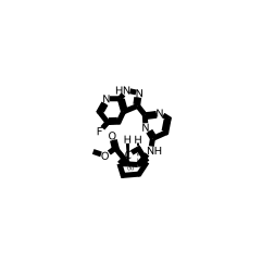 COC(=O)[C@H]1C2CCC(CC2)[C@@H]1Nc1ccnc(-c2n[nH]c3ncc(F)cc23)n1